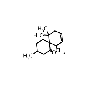 CC1CCC2(C(=O)C1)C(C)C=CCC2(C)C